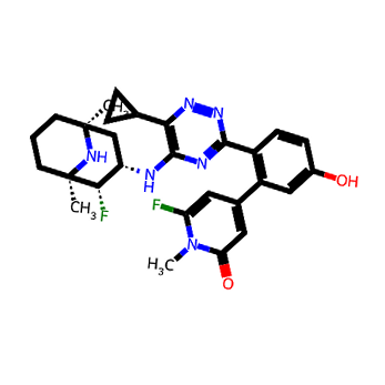 Cn1c(F)cc(-c2cc(O)ccc2-c2nnc(C3CC3)c(N[C@H]3C[C@]4(C)CCC[C@@](C)(N4)[C@H]3F)n2)cc1=O